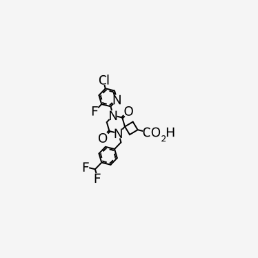 O=C(O)C1CC2(C1)C(=O)N(c1ncc(Cl)cc1F)CC(=O)N2Cc1ccc(C(F)F)cc1